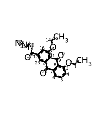 CCOc1cccc2c1C(=O)c1c(OCC)cc(C(=O)N=[N+]=[N-])cc1C2=O